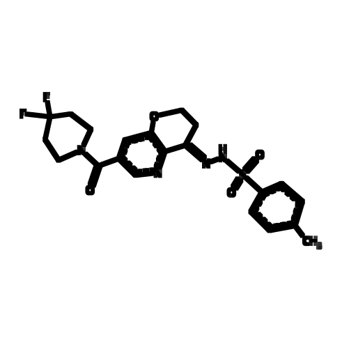 Cc1ccc(S(=O)(=O)N/N=C2\CCOc3cc(C(=O)N4CCC(F)(F)CC4)cnc32)cc1